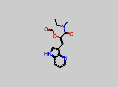 CCN(C)C(=O)/C(=C/c1c[nH]c2cccnc12)OC=O